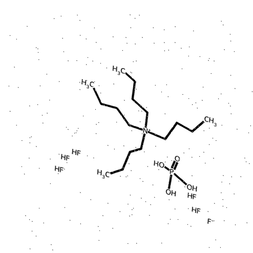 CCCC[N+](CCCC)(CCCC)CCCC.F.F.F.F.F.O=P(O)(O)O.[F-]